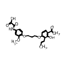 CCCc1c(OCCCOc2ccc(NC(=O)C(=O)O)cc2OC)ccc(C(C)=O)c1O